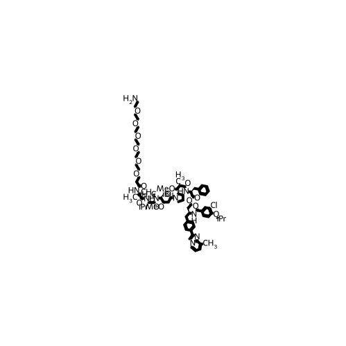 CC[C@H](C)C(C(CC(=O)N1CCC[C@H]1C(OC)[C@@H](C)C(=O)N[C@@H](Cc1ccccc1)C(=O)OCC[C@H](Cc1ccc(-c2cn3cccc(C)c3n2)cc1)NC(=O)c1ccc(OC(C)C)c(Cl)c1)OC)N(C)C(=O)[C@@H](NC(=O)C(C)(C)NC(=O)CCOCCOCCOCCOCCOCCOCCN)C(C)C